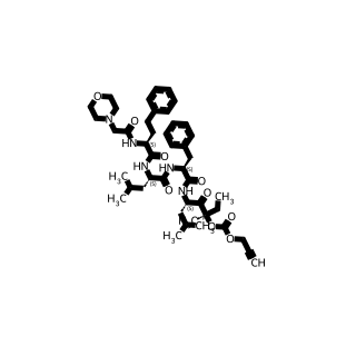 C#CCOC(=O)O[C@](C)(CC)C(=O)[C@H](CC(C)C)NC(=O)[C@H](Cc1ccccc1)NC(=O)[C@H](CC(C)C)NC(=O)[C@H](CCc1ccccc1)NC(=O)CN1CCOCC1